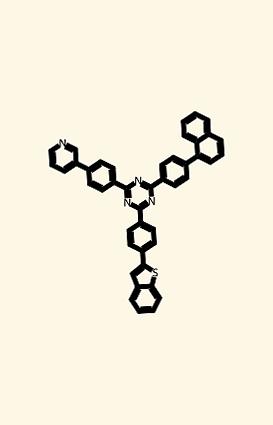 c1cncc(-c2ccc(-c3nc(-c4ccc(-c5cc6ccccc6s5)cc4)nc(-c4ccc(-c5cccc6ccccc56)cc4)n3)cc2)c1